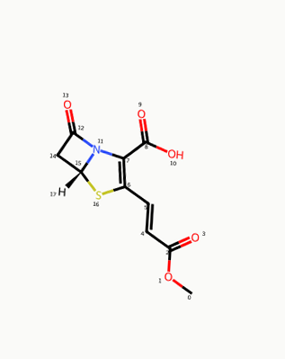 COC(=O)/C=C/C1=C(C(=O)O)N2C(=O)C[C@H]2S1